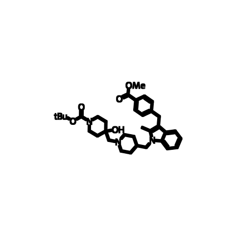 COC(=O)c1ccc(Cc2c(C)n(CC3CCN(CC4(O)CCN(C(=O)OC(C)(C)C)CC4)CC3)c3ccccc23)cc1